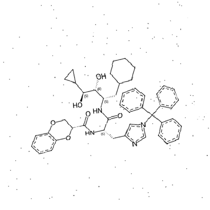 O=C(N[C@@H](Cc1cn(C(c2ccccc2)(c2ccccc2)c2ccccc2)cn1)C(=O)N[C@@H](CC1CCCCC1)[C@@H](O)[C@@H](O)C1CC1)C1COc2ccccc2O1